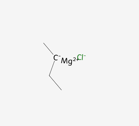 C[CH-]CC.[Cl-].[Mg+2]